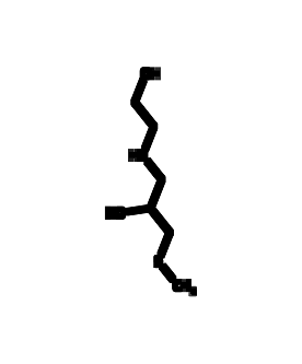 CSCC(O)CNCCO